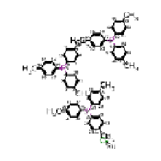 Cc1ccc(P(c2ccc(C)cc2)c2ccc(C)cc2)cc1.Cc1ccc(P(c2ccc(C)cc2)c2ccc(C)cc2)cc1.Cc1ccc(P(c2ccc(C)cc2)c2ccc(C)cc2)cc1.[Cl][Ru]